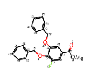 COC(=O)c1cc(F)c(OCc2ccccc2)c(OCc2ccccc2)c1